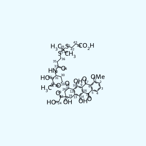 COc1cccc2c1C(=O)c1c(O)c3c(c(O)c1C2=O)C[C@@](O)(C(=O)CO)C[C@@H]3O[C@H]1C[C@H](NC(=O)CCSC(C)(C)SCCC(=O)O)[C@@H](O)[C@H](C)O1